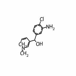 C=N/C=C(\C=C/C)C(O)c1ccc(Cl)c(N)c1